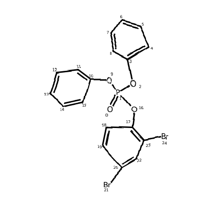 O=P(Oc1ccccc1)(Oc1ccccc1)Oc1ccc(Br)cc1Br